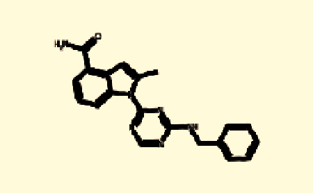 Cc1cc2c(C(N)=O)cccc2n1-c1ncnc(NCc2ccccc2)n1